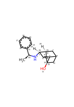 C[C@H](N[C@@H]1C=C2C3C[C@H]1C[C@@]2(O)C3)c1ccccc1